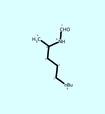 CCCCCCCC(C)NC=O